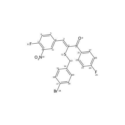 O=C(C(=Cc1ccc(F)c([N+](=O)[O-])c1)SCc1ccc(Br)cc1)c1ccc(F)cc1